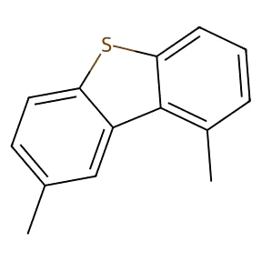 Cc1ccc2sc3cccc(C)c3c2c1